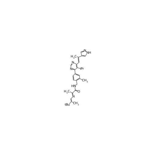 C/C(=C\c1ncnc(-c2ccc(CNC(=O)/C(C)=N/C=C(\C)C(C)(C)C)c(C)c2)c1C(C)C)c1cn[nH]c1